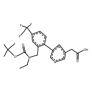 CCN(Cc1cc(C(F)(F)F)ccc1-c1cncc(CC(=O)O)c1)C(=O)OC(C)(C)C